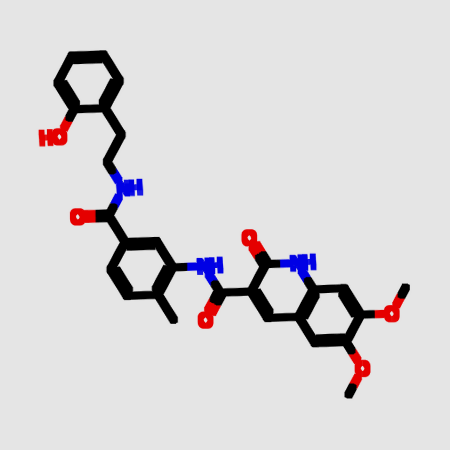 COc1cc2cc(C(=O)Nc3cc(C(=O)NCCc4ccccc4O)ccc3C)c(=O)[nH]c2cc1OC